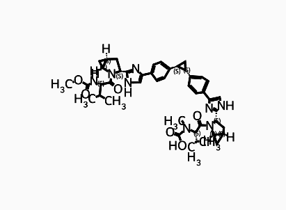 COC(=O)N[C@H](C(=O)N1[C@@H]2C[C@H]2C[C@H]1c1nc(-c2ccc([C@H]3C[C@@H]3c3ccc(-c4c[nH]c([C@@H]5C[C@H]6C[C@H]6N5C(=O)[C@H](C(C)C)N(C)C(=O)O)n4)cc3)cc2)c[nH]1)C(C)C